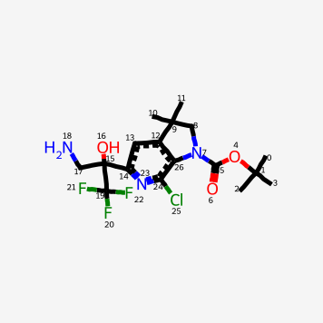 CC(C)(C)OC(=O)N1CC(C)(C)c2cc(C(O)(CN)C(F)(F)F)nc(Cl)c21